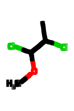 CC(Cl)C(Cl)O[SiH3]